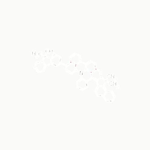 CC1(C)c2ccccc2-c2cc(-c3ccc(N(c4ccccc4-c4ccccc4)c4ccccc4-c4cccc5c4-c4ccc6ccccc6c4C5(C)C)cc3)ccc21